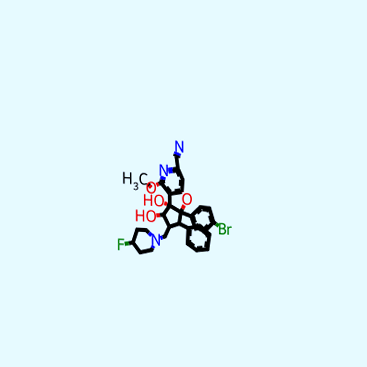 COc1nc(C#N)cc2c1C1(O)C(O)C(CN3CCC(F)CC3)C(c3ccccc3)C1(c1ccc(Br)cc1)O2